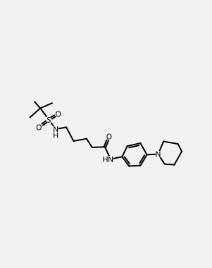 CC(C)(C)S(=O)(=O)NCCCCC(=O)Nc1ccc(N2CCCCC2)cc1